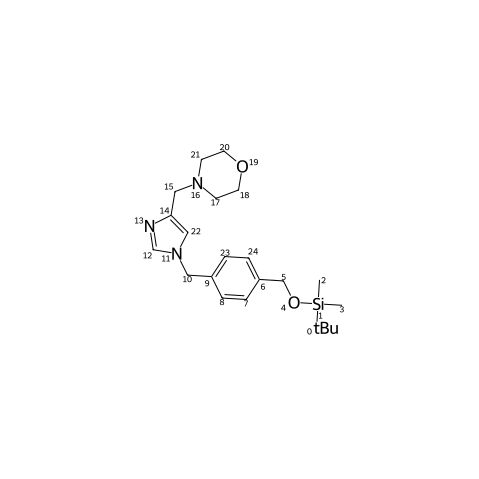 CC(C)(C)[Si](C)(C)OCc1ccc(Cn2cnc(CN3CCOCC3)c2)cc1